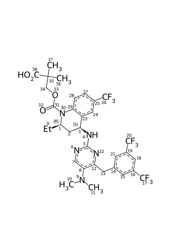 CC[C@@H]1C[C@H](Nc2ncc(N(C)C)c(Cc3cc(C(F)(F)F)cc(C(F)(F)F)c3)n2)c2cc(C(F)(F)F)ccc2N1C(=O)OCC(C)(C)C(=O)O